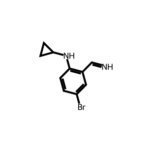 N=Cc1cc(Br)ccc1NC1CC1